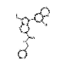 O=C(NCc1ccccc1)c1cnc2c(c1)c(-c1cc(Cl)c3ncccc3c1)cn2SI